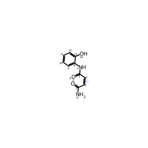 NC(=O)/C=C\C(=O)Nc1ccccc1O